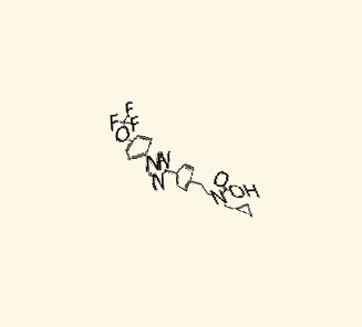 O=C(O)N(CCc1ccc(-c2ncn(-c3ccc(OC(F)(F)F)cc3)n2)cc1)CC1CC1